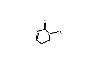 CN1CCC=NC1=O